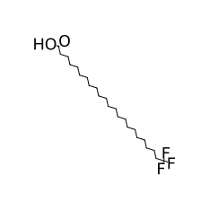 O=C(O)CCCCCCCCCCCCCCCCCCCCCC(F)(F)F